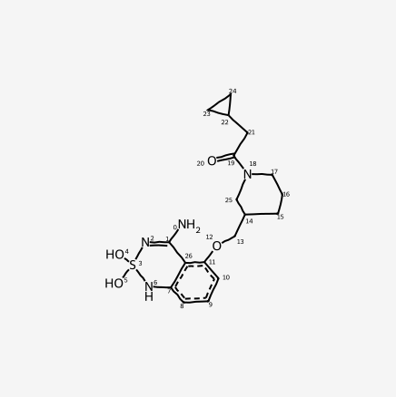 NC1=NS(O)(O)Nc2cccc(OCC3CCCN(C(=O)CC4CC4)C3)c21